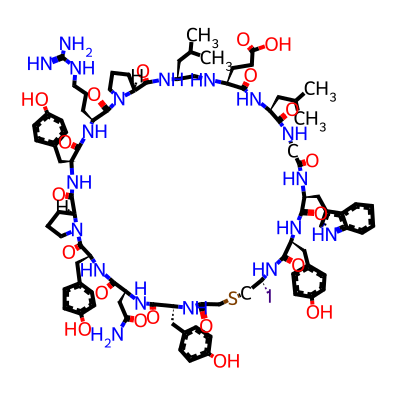 CC(C)C[C@H]1CN[C@@H](CCC(=O)O)C(=O)N[C@@H](CC(C)C)C(=O)NCC(=O)N[C@@H](Cc2c[nH]c3ccccc23)C(=O)N[C@@H](Cc2ccc(O)cc2)C(=O)N[C@H](I)CSCC(=O)N[C@H](Cc2ccc(O)cc2)C(=O)N[C@@H](CC(N)=O)C(=O)N[C@@H](Cc2ccc(O)cc2)C(=O)N2CCC[C@H]2C(=O)N[C@@H](Cc2ccc(O)cc2)C(=O)N[C@@H](CCCNC(=N)N)C(=O)N2CCC[C@H]2C(=O)N1